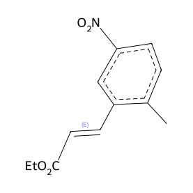 CCOC(=O)/C=C/c1cc([N+](=O)[O-])ccc1C